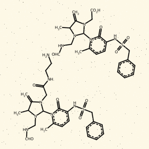 C=C1C(C)N(CNC=O)C(n2c(C)ccc(NS(=O)(=O)Cc3ccccc3)c2=O)N1CC(=O)NCCN.C=C1C(C)N(CNC=O)C(n2c(C)ccc(NS(=O)(=O)Cc3ccccc3)c2=O)N1CC(=O)O